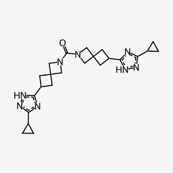 O=C(N1CC2(CC(c3nc(C4CC4)n[nH]3)C2)C1)N1CC2(CC(c3nc(C4CC4)n[nH]3)C2)C1